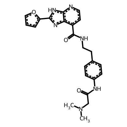 CN(C)CC(=O)Nc1ccc(CCNC(=O)c2ccnc3[nH]c(-c4ccco4)nc23)cc1